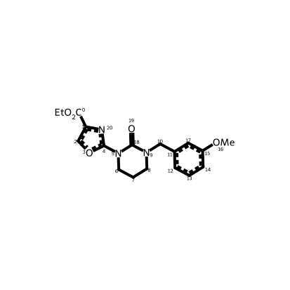 CCOC(=O)c1coc(N2CCCN(Cc3cccc(OC)c3)C2=O)n1